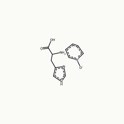 NC(Cc1c[nH]cn1)C(=O)O.[O-][n+]1ccccc1